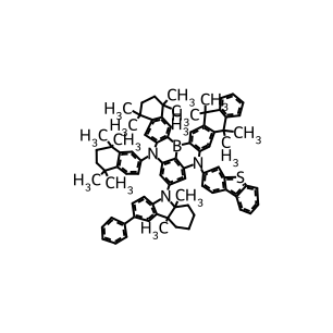 CC1(C)CCC(C)(C)c2cc(N3c4cc5c(cc4B4c6cc7c(cc6N(c6ccc8c(c6)sc6ccccc68)c6cc(N8c9ccc(-c%10ccccc%10)cc9C9(C)CCCCC89C)cc3c64)C(C)(C)c3ccccc3C7(C)C)C(C)(C)CCC5(C)C)ccc21